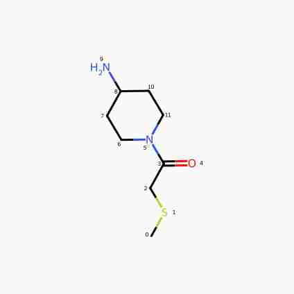 CSCC(=O)N1CCC(N)CC1